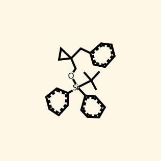 CC(C)(C)[Si](OCC1(Cc2ccccc2)CC1)(c1ccccc1)c1ccccc1